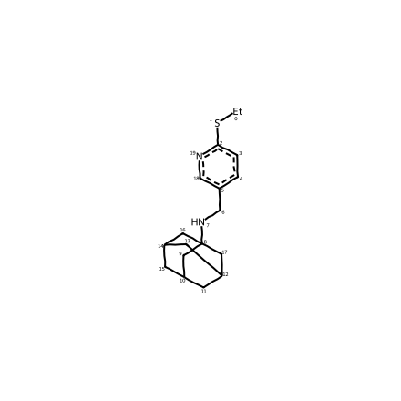 CCSc1ccc(CNC23CC4CC(CC(C4)C2)C3)cn1